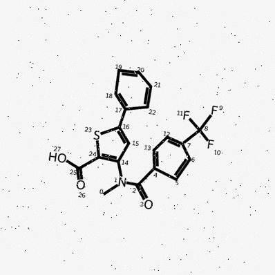 CN(C(=O)c1ccc(C(F)(F)F)cc1)c1cc(-c2ccccc2)sc1C(=O)O